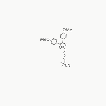 COc1ccc(-c2nc(CCCCCC(C)(C)C#N)oc2-c2ccc(OC)cc2)cc1